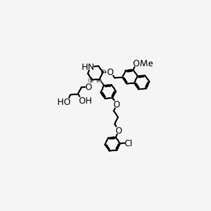 COc1cc(CO[C@H]2CNC[C@@H](OCC(O)CO)[C@@H]2c2ccc(OCCCOc3ccccc3Cl)cc2)cc2ccccc12